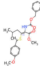 COC(=O)/C(NC(=O)OCc1ccccc1)=C(/CC(C)C)SCc1ccc(OC)cc1